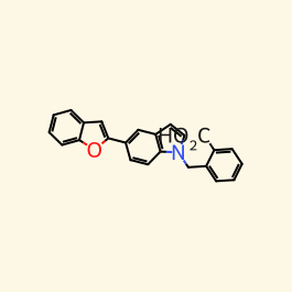 O=C(O)c1ccccc1Cn1ccc2cc(-c3cc4ccccc4o3)ccc21